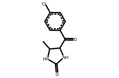 CC1NC(=O)NC1C(=O)c1ccc(Cl)cc1